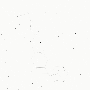 CN(C)CCCOc1ccc(CN2C3CC2CN(C)C3)cc1